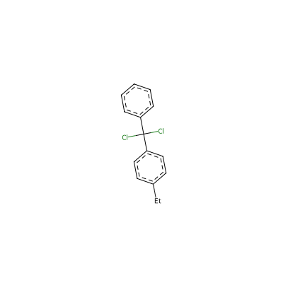 CCc1ccc(C(Cl)(Cl)c2ccccc2)cc1